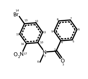 CN(C(=O)c1ccccc1)c1ccc(Br)cc1[N+](=O)[O-]